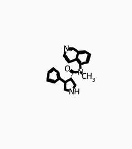 CN(C(=O)[C@@H]1CNCC1c1ccccc1)c1cccc2cnccc12